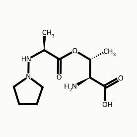 C[C@H](NN1CCCC1)C(=O)O[C@H](C)[C@H](N)C(=O)O